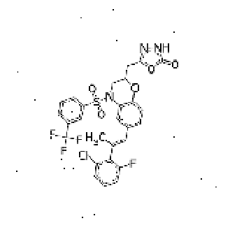 CC(=Cc1ccc2c(c1)N(S(=O)(=O)c1cccc(C(F)(F)F)c1)CC(Cc1n[nH]c(=O)o1)O2)c1c(F)cccc1Cl